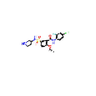 COc1ccc(S(=O)(=O)NC2CCNC2)cc1C(=O)Nc1ccc(Cl)cc1F